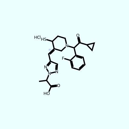 CC(C(=O)O)n1ncc(/C=C2\CN(C(C(=O)C3CC3)c3ccccc3F)CCC2S)n1.Cl